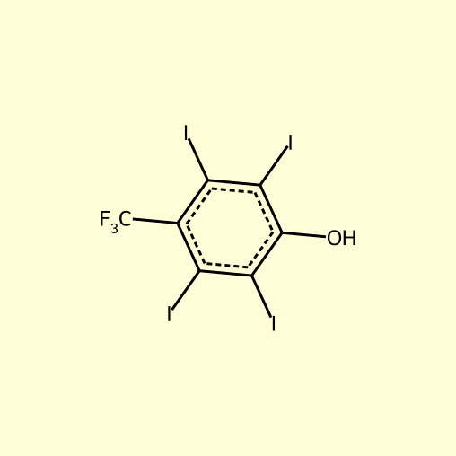 Oc1c(I)c(I)c(C(F)(F)F)c(I)c1I